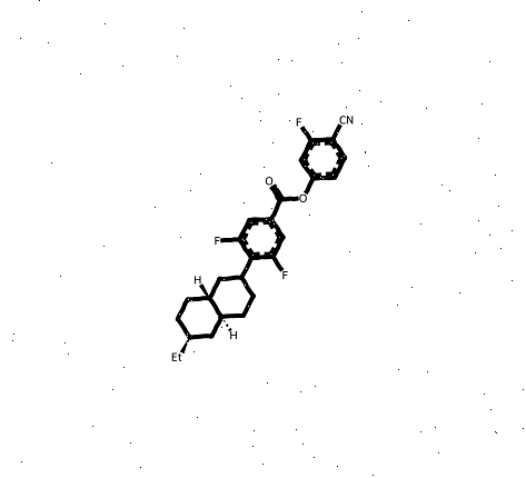 CC[C@H]1CC[C@@H]2CC(c3c(F)cc(C(=O)Oc4ccc(C#N)c(F)c4)cc3F)CC[C@H]2C1